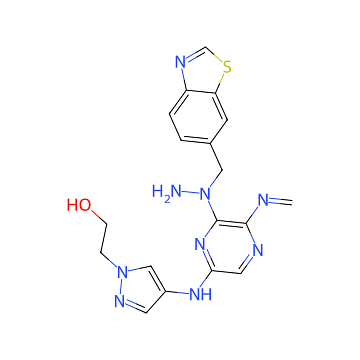 C=Nc1ncc(Nc2cnn(CCO)c2)nc1N(N)Cc1ccc2ncsc2c1